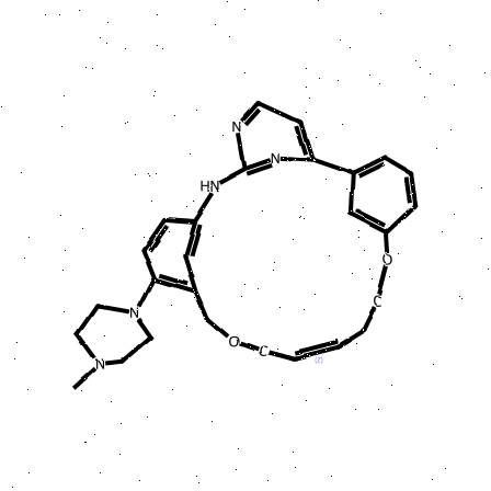 CN1CCN(c2ccc3cc2COC/C=C\CCOc2cccc(c2)-c2ccnc(n2)N3)CC1